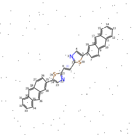 C(=C\c1ncc(-c2ccc3cc4ccccc4cc3c2)s1)/c1ncc(-c2ccc3cc4ccccc4cc3c2)s1